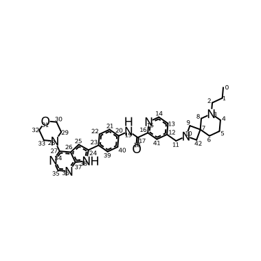 CCCN1CCCC2(C1)CN(Cc1ccnc(C(=O)Nc3ccc(-c4cc5c(N6CCOCC6)ncnc5[nH]4)cc3)c1)C2